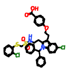 O=C(O)c1ccc(OCCc2c(CCNS(=O)(=O)CSc3ccccc3Cl)n(C(c3ccccc3)c3ccccc3)c3ccc(Cl)cc23)cc1